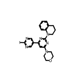 Ic1ncc(-c2cc(N3CCOCC3)nc(N3CCCc4ccccc43)n2)cn1